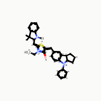 CCN1c2ccccc2C(C)(C)C1C=c1s/c(=C/c2ccc3c(c2)C2CCCC2N3c2ccccc2)c(=O)n1CC(=O)O